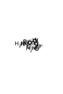 COc1cc2nccc(-c3ccc(NC(N)=O)c(Cl)c3)c2cc1C(N)=O